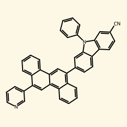 N#Cc1ccc2c3ccc(-c4cc5c6ccccc6c(-c6cccnc6)cc5c5ccccc45)cc3n(-c3ccccc3)c2c1